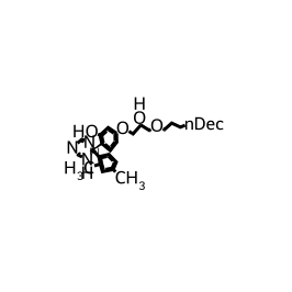 CCCCCCCCCCCCCOCC(O)COc1ccc([C@]2(c3ccc(C)cc3C)N=CN=CN2)c(O)c1